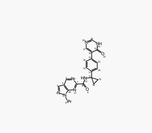 CC(C)n1ncc2cnc(C(=O)NC3(c4ccc(-c5cnc[nH]c5=O)cc4)CC3)nc21